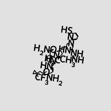 CC1(C)C[C@H](CCCN(CC(=N)NC=N)c2cccc(S)n2)CN1c1nc(N/C=C\C(N)OCCC2(C(F)(F)F)CC2)ccc1C(N)=O